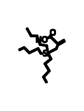 C=C(C[Si](CCCCC)(CCCCC)CCCCC)C(=O)O